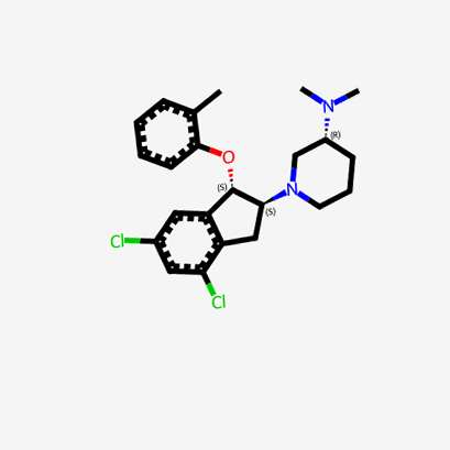 Cc1ccccc1O[C@H]1c2cc(Cl)cc(Cl)c2C[C@@H]1N1CCC[C@@H](N(C)C)C1